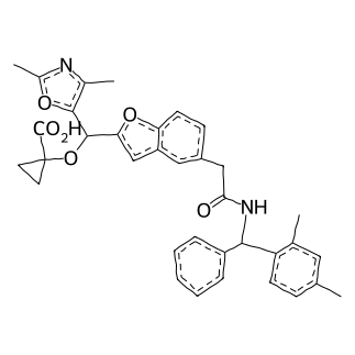 Cc1ccc(C(NC(=O)Cc2ccc3oc(C(OC4(C(=O)O)CC4)c4oc(C)nc4C)cc3c2)c2ccccc2)c(C)c1